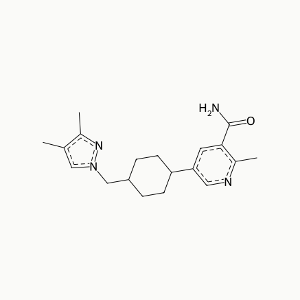 Cc1cn(CC2CCC(c3cnc(C)c(C(N)=O)c3)CC2)nc1C